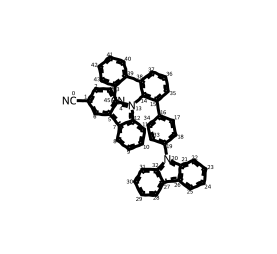 N#Cc1ccc2c(c1)c1ccccc1n2-c1c(-c2ccc(-n3c4ccccc4c4ccccc43)cc2)cccc1-c1ccccc1C#N